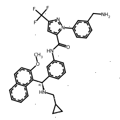 COc1ccc2ccccc2c1[C@H](NCC1CC1)c1cccc(NC(=O)c2cc(C(F)(F)F)nn2-c2cccc(CN)c2)c1